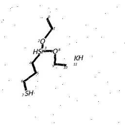 CCO[SiH](CCCS)OCC.[KH]